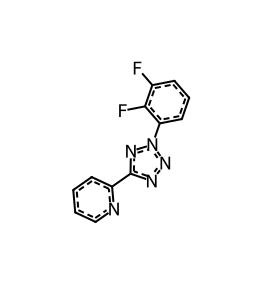 Fc1cccc(-n2nnc(-c3ccccn3)n2)c1F